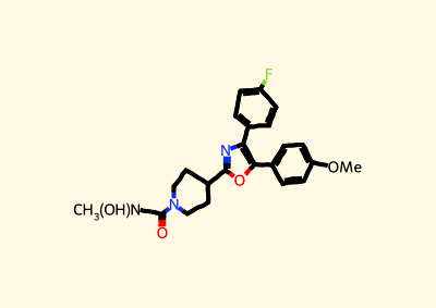 COc1ccc(-c2oc(C3CCN(C(=O)N(C)O)CC3)nc2-c2ccc(F)cc2)cc1